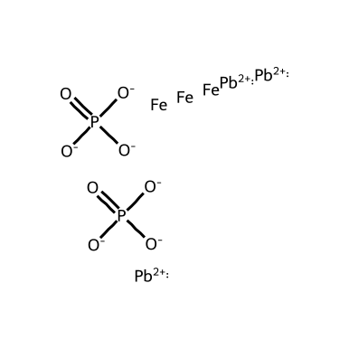 O=P([O-])([O-])[O-].O=P([O-])([O-])[O-].[Fe].[Fe].[Fe].[Pb+2].[Pb+2].[Pb+2]